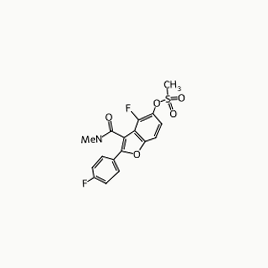 CNC(=O)c1c(-c2ccc(F)cc2)oc2ccc(OS(C)(=O)=O)c(F)c12